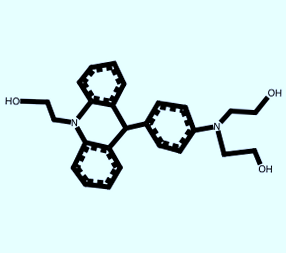 OCCN(CCO)c1ccc(C2c3ccccc3N(CCO)c3ccccc32)cc1